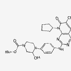 CC(C)(C)OC(=O)N1CCN(c2ccc(Nc3ncc4cc(C#N)c(=O)n(C5CCCC5)c4n3)cc2)C(O)C1